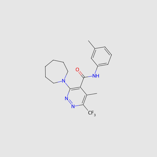 Cc1cccc(NC(=O)c2c(N3CCCCCC3)nnc(C(F)(F)F)c2C)c1